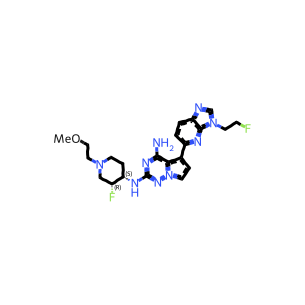 COCCN1CC[C@H](Nc2nc(N)c3c(-c4ccc5ncn(CCF)c5n4)ccn3n2)[C@H](F)C1